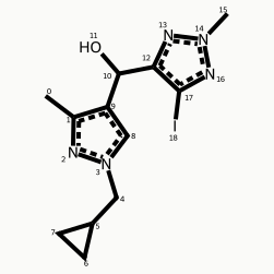 Cc1nn(CC2CC2)cc1C(O)c1nn(C)nc1I